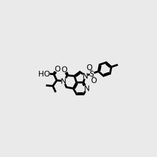 Cc1ccc(S(=O)(=O)n2cc3c4c(ccnc42)CN(C(C(=O)O)C(C)C)C3=O)cc1